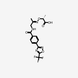 CC(CNC(=O)c1ccc(-c2noc(C(F)(F)F)n2)cc1)=NO[C@H](C)C(=O)O